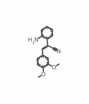 COc1ccc(/C=C(\C#N)c2ccccc2N)cc1OC